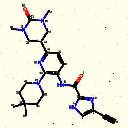 C#Cc1c[nH]c(C(=O)Nc2ccc(C3CN(C)C(=O)N(C)C3)nc2N2CCC(C)(C)CC2)n1